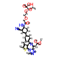 CCOC(OCCOCC(=O)Nc1ccc(-c2ccc(C3=N[C@@H](CC(=O)OC)c4nnc(C)n4-c4sc(C)c(C)c43)cc2)cc1C#N)C(=O)O